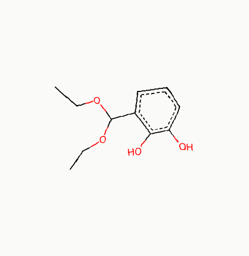 CCOC(OCC)c1cccc(O)c1O